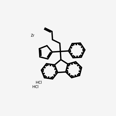 C=CCCC(C1=CC=CC1)(c1ccccc1)C1c2ccccc2-c2ccccc21.Cl.Cl.[Zr]